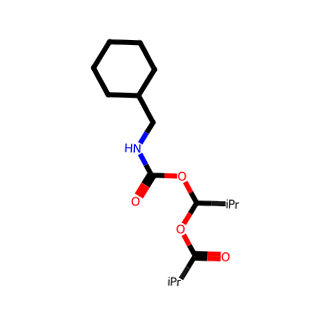 CC(C)C(=O)OC(OC(=O)NCC1CCCCC1)C(C)C